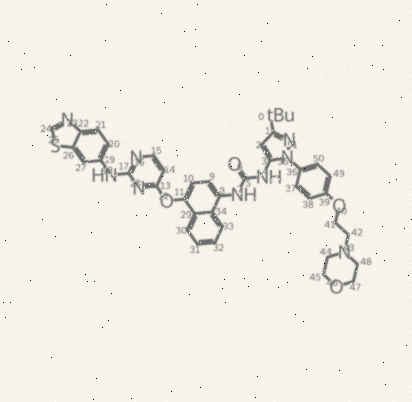 CC(C)(C)c1cc(NC(=O)Nc2ccc(Oc3ccnc(Nc4ccc5ncsc5c4)n3)c3ccccc23)n(-c2ccc(OCCN3CCOCC3)cc2)n1